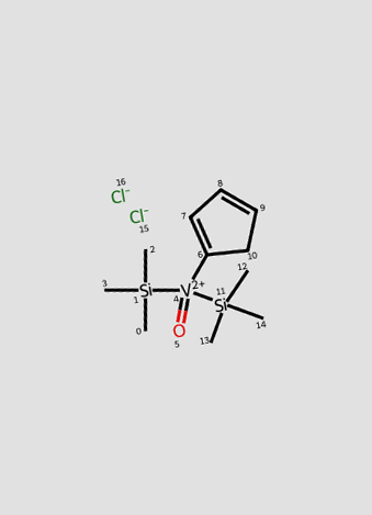 C[Si](C)(C)[V+2](=[O])([C]1=CC=CC1)[Si](C)(C)C.[Cl-].[Cl-]